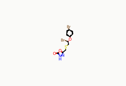 O=c1[nH]nc(CSCC(Br)Oc2ccc(Br)cc2)o1